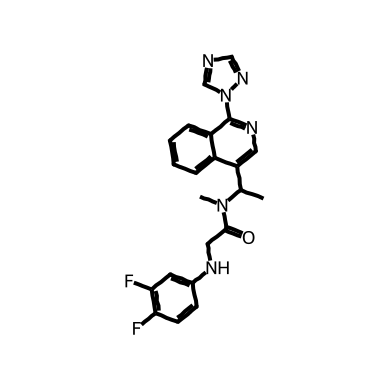 CC(c1cnc(-n2cncn2)c2ccccc12)N(C)C(=O)CNc1ccc(F)c(F)c1